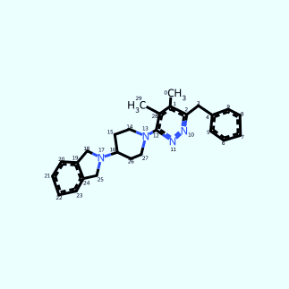 Cc1c(Cc2ccccc2)nnc(N2CCC(N3Cc4ccccc4C3)CC2)c1C